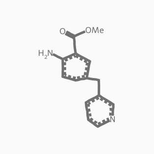 COC(=O)c1cc(Cc2cccnc2)ccc1N